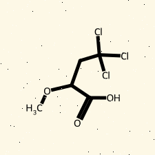 COC(CC(Cl)(Cl)Cl)C(=O)O